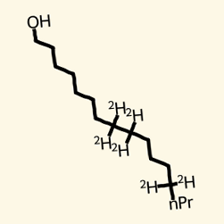 [2H]C([2H])(CCC)CCCC([2H])([2H])C([2H])([2H])CCCCCCCO